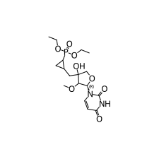 CCOP(=O)(OCC)C1CC1CC1(O)CO[C@@H](n2ccc(=O)[nH]c2=O)C1OC